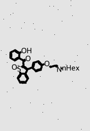 CCCCCCN=CCOc1ccc(-c2c(C(=O)c3ccccc3O)[s+]([O-])c3ccccc23)cc1